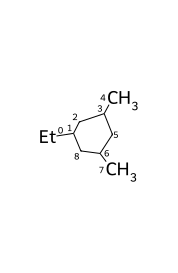 [CH2]CC1CC(C)CC(C)C1